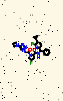 O=C(NC(c1ccccc1)c1ccc(C2CC2)c(F)n1)C1CC(F)CN1C(=O)Cn1cc(N2CCC2)nn1